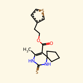 CC1=C(C(=O)OCCc2ccsc2)C2(CCCC2)NC(=S)N1